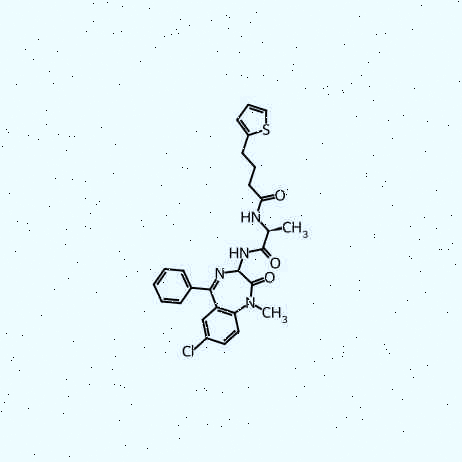 C[C@H](NC(=O)CCCc1cccs1)C(=O)NC1N=C(c2ccccc2)c2cc(Cl)ccc2N(C)C1=O